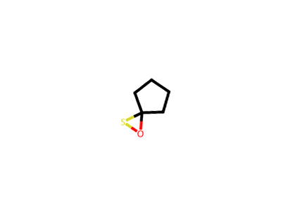 C1CCC2(C1)OS2